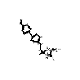 C=Cc1ccc(-c2ccc(CCC(C)(NC(=O)OC(C)(C)C)C(=O)OCC)cc2)cc1